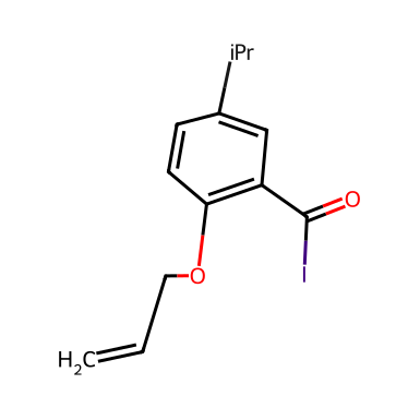 C=CCOc1ccc(C(C)C)cc1C(=O)I